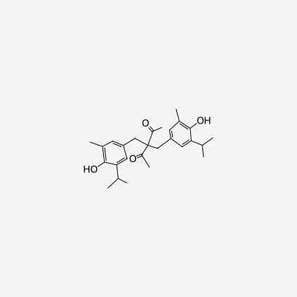 CC(=O)C(Cc1cc(C)c(O)c(C(C)C)c1)(Cc1cc(C)c(O)c(C(C)C)c1)C(C)=O